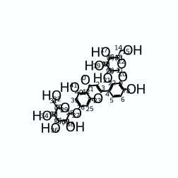 O=c1cc(-c2ccc(O)c(OC3O[C@H](CO)[C@@H](O)[C@H](O)[C@H]3O)c2)oc2cc(OC3O[C@H](CO)[C@@H](O)[C@H](O)[C@H]3O)cc(O)c12